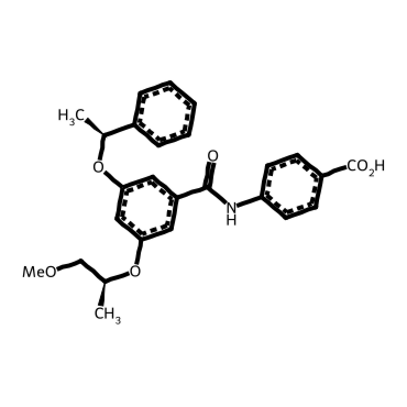 COC[C@H](C)Oc1cc(O[C@@H](C)c2ccccc2)cc(C(=O)Nc2ccc(C(=O)O)cc2)c1